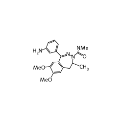 CNC(=O)N1N=C(c2cccc(N)c2)c2cc(OC)c(OC)cc2CC1C